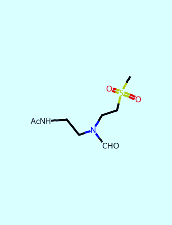 CC(=O)NCCN(C=O)CCS(C)(=O)=O